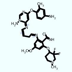 COc1cc(/N=C\C/C=C\N=c2\cc(Oc3ccc(N)cc3C)ncn2N)c(C(=N)Cl)c(OC2CCN(C)CC2(F)F)c1